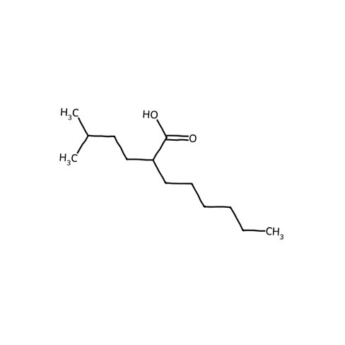 CCCCCCC(CCC(C)C)C(=O)O